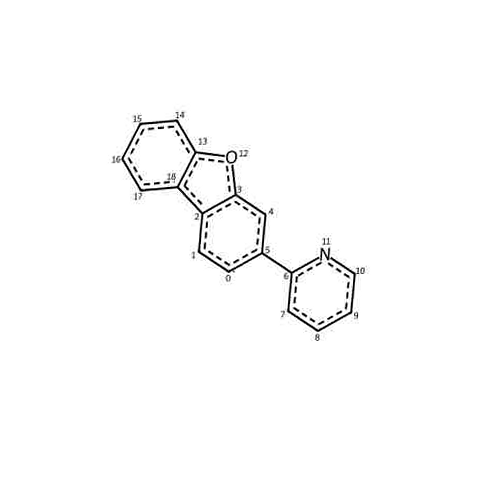 [c]1cc2c(cc1-c1ccccn1)oc1ccccc12